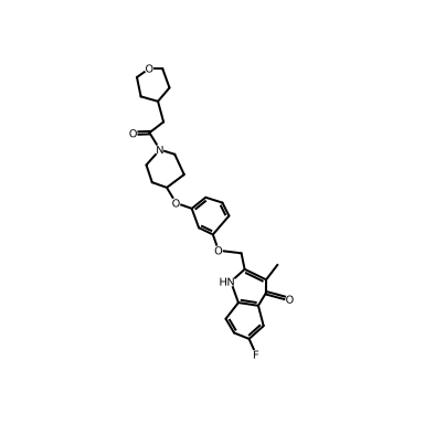 Cc1c(COc2cccc(OC3CCN(C(=O)CC4CCOCC4)CC3)c2)[nH]c2ccc(F)cc2c1=O